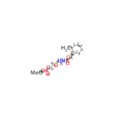 C=C1CC#CCCC2C1[C@@H]2COC(=O)NCCOCCOC(=O)OOC